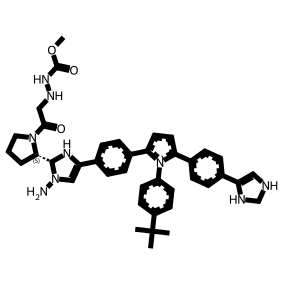 COC(=O)NNCC(=O)N1CCC[C@H]1C1NC(c2ccc(-c3ccc(-c4ccc(C5=CNCN5)cc4)n3-c3ccc(C(C)(C)C)cc3)cc2)=CN1N